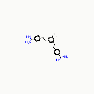 N=C(N)c1ccc(CCc2cc(CCc3ccc(C(=N)N)cc3)cc(C(F)(F)F)c2)cc1